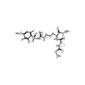 COc1cc(C)c(S(=O)(=O)NC(=N)NCCC[C@H](NC(=O)[C@H](C)NC(=O)OC(C)(C)C)C(=O)OC(C)(C)C)c(C)c1C